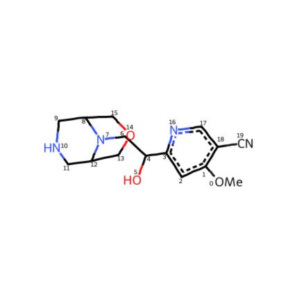 COc1cc(C(O)CN2C3CNCC2COC3)ncc1C#N